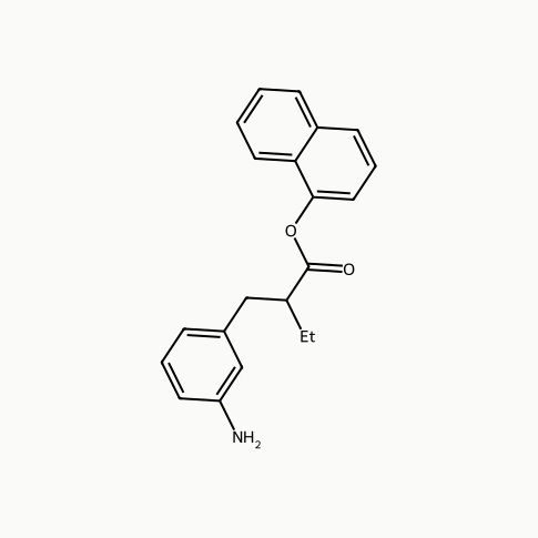 CCC(Cc1cccc(N)c1)C(=O)Oc1cccc2ccccc12